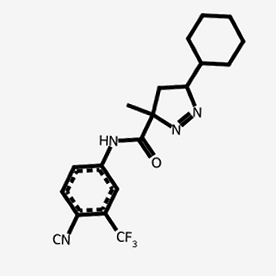 [C-]#[N+]c1ccc(NC(=O)C2(C)CC(C3CCCCC3)N=N2)cc1C(F)(F)F